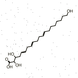 O=C(O)C(O)C(O)CC=CCC=CCCC=CCCCCCCCO